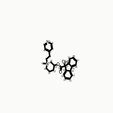 C[N+]1(CCc2ccncc2)CCCC(OC(=O)C2(O)c3ccccc3-c3ccccc32)C1